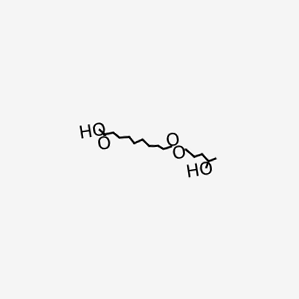 CC(O)CCCOC(=O)CCCCCCCCC(=O)O